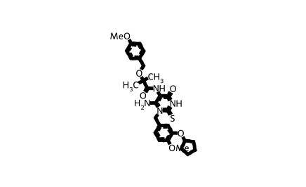 COc1ccc(COC(C)(C)C(=O)Nc2c(N)n(Cc3ccc(OC)c(OC4CCCC4)c3)c(=S)[nH]c2=O)cc1